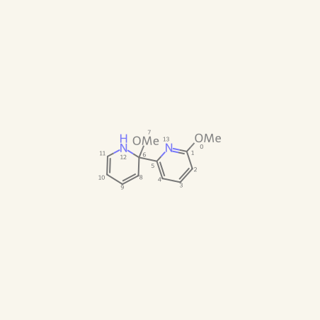 COc1cccc(C2(OC)C=CC=CN2)n1